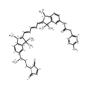 Cc1nnc(CC(=O)Nc2ccc3c(c2)C(C)(C)\C(=C/C=C/C=C/C2=[N+](C)c4ccc(N(C)CCN5C(=O)C=CC5=O)cc4C2(C)C)N3C)nn1